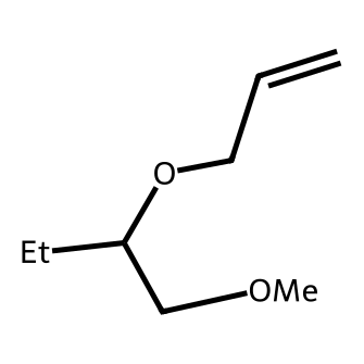 C=CCOC(CC)COC